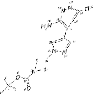 CC(C)(C)OC(=O)N1CC(n2cc(-c3cc(Cl)nnc3N)cn2)C1